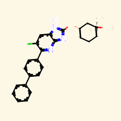 C[C@@]1(O)CCC[C@@H](Oc2nc3nc(-c4ccc(-c5ccccc5)cc4)c(Cl)cc3[nH]2)C1